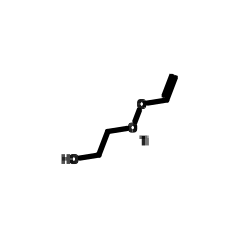 C=COOCCO.[Ti]